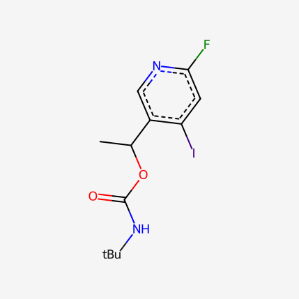 CC(OC(=O)NC(C)(C)C)c1cnc(F)cc1I